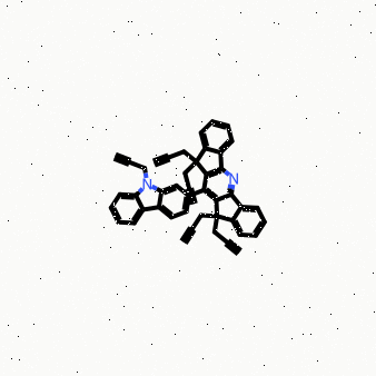 C#CCn1c2ccccc2c2ccc(-c3c4c(nc5c3C(CC#C)(CC#C)c3ccccc3-5)-c3ccccc3C4(CC#C)CC#C)cc21